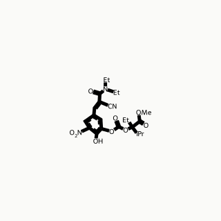 CCN(CC)C(=O)/C(C#N)=C/c1cc(OC(=O)OC(CC)(C(=O)OC)C(C)C)c(O)c([N+](=O)[O-])c1